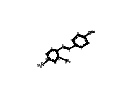 COc1ccc(N=Nc2ccc(N)cc2N)cc1